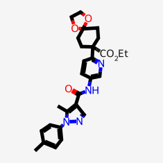 CCOC(=O)C1(c2ccc(NC(=O)c3cnn(-c4ccc(C)cc4)c3C)cn2)CCC2(CC1)OCCO2